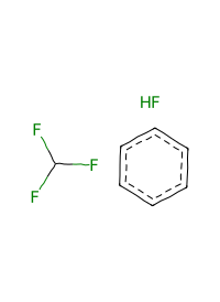 F.FC(F)F.c1ccccc1